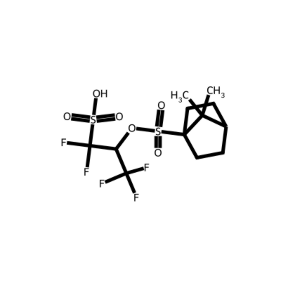 CC1(C)C2CCC1(S(=O)(=O)OC(C(F)(F)F)C(F)(F)S(=O)(=O)O)CC2